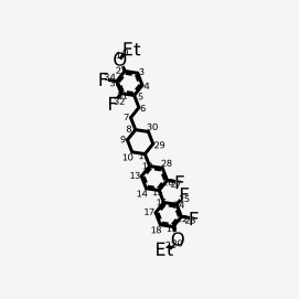 CCOc1ccc(CCC2CCC(c3ccc(-c4ccc(OCC)c(F)c4F)c(F)c3)CC2)c(F)c1F